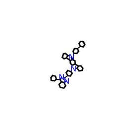 c1ccc(-c2ccc(-n3c4ccccc4c4cc5c(cc43)c3ccccc3n5-c3ccc(-c4nc(-c5ccccc5)c5ccccc5n4)cc3)cc2)cc1